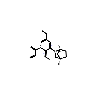 C=CC(=C)NC(=C/C)/C(=C\C(=C)CC)N1C[C@@H]2CC[C@H]1C2